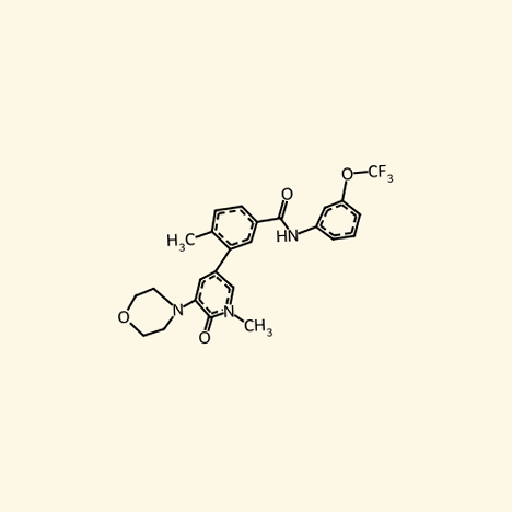 Cc1ccc(C(=O)Nc2cccc(OC(F)(F)F)c2)cc1-c1cc(N2CCOCC2)c(=O)n(C)c1